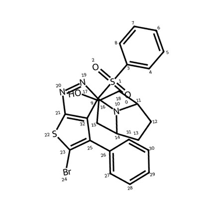 O=S(=O)(c1ccccc1)C1(N2C3CCC2CC(O)C3)N=Nc2sc(Br)c(-c3ccccc3)c21